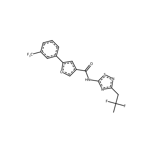 CC(F)(F)Cc1nsc(NC(=O)c2coc(-c3cccc(C(F)(F)F)c3)c2)n1